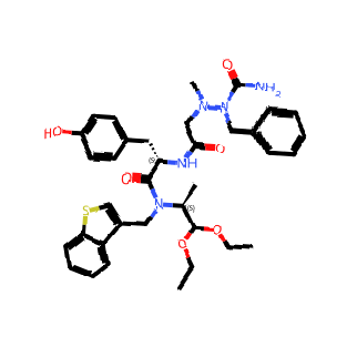 CCOC(OCC)[C@H](C)N(Cc1csc2ccccc12)C(=O)[C@H](Cc1ccc(O)cc1)NC(=O)CN(C)N(Cc1ccccc1)C(N)=O